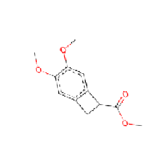 COC(=O)C1Cc2cc(OC)c(OC)cc21